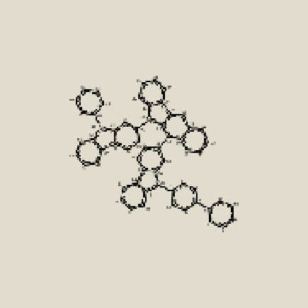 c1ccc(-c2ccc(-n3c4ccccc4c4ccc(-c5c6ccccc6cc6c7ccccc7n(-c7ccc8c9ccccc9n(-c9ccccc9)c8c7)c56)cc43)cc2)cc1